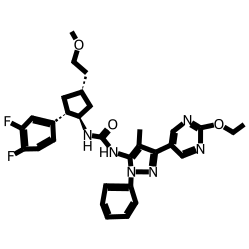 CCOc1ncc(-c2nn(-c3ccccc3)c(NC(=O)N[C@@H]3C[C@@H](CCOC)C[C@H]3c3ccc(F)c(F)c3)c2C)cn1